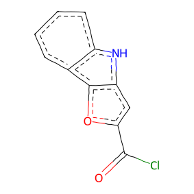 O=C(Cl)c1cc2[nH]c3ccccc3c2o1